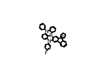 Fc1ccc(N2c3cc4c(cc3B3c5ccccc5N(c5ccccc5)c5cccc2c53)C2(c3ccccc3-4)C3CCC2CC3)cc1